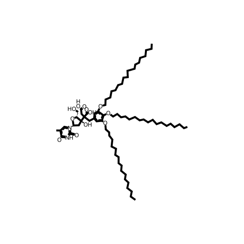 CCCCCCCCCCCCCCCCCCOc1cc(CC(CC(=O)O)(C(=O)O)[C@]2(O)C[C@H](n3cc(C)c(=O)[nH]c3=O)O[C@@H]2CO)cc(OCCCCCCCCCCCCCCCCCC)c1OCCCCCCCCCCCCCCCCCC